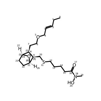 CCC=CCOCC[C@H]1[C@@H](CSCCCCC(=O)N(C)O)[C@H]2CC[C@@H]1O2